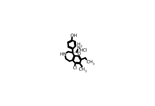 CCc1cc2c(c(Cl)c1CC)CCNC[C@@]2(C(N)=O)c1ccc(O)cc1.Cl